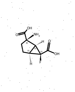 N[C@]1(C(=O)O)CC[C@H]2[C@@H]1[C@]2(F)C(=O)O